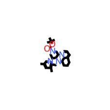 Cc1cnc(CN(C2CCN(C(=O)OC(C)(C)C)CC2)C2CCCc3cccnc32)c(C)c1